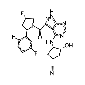 N#C[C@H]1C[C@@H](O)[C@H](Nc2ncnc3[nH]nc(C(=O)N4C[C@@H](F)C[C@@H]4c4cc(F)ccc4F)c23)C1